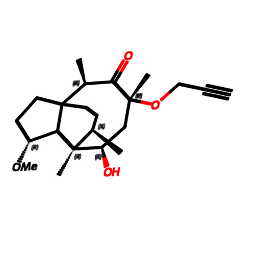 C#CCO[C@]1(C)C[C@@H](O)[C@@]2(C)C3[C@H](OC)CCC3(CC[C@H]2C)[C@@H](C)C1=O